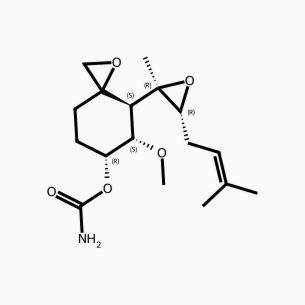 CO[C@@H]1[C@H](OC(N)=O)CCC2(CO2)[C@H]1[C@@]1(C)O[C@@H]1CC=C(C)C